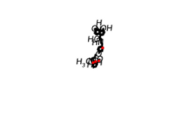 CN(CCCOc1ccc(CNC[C@@H](O)c2ccc(O)c3[nH]c(=O)ccc23)cc1)[C@H]1C[C@@H]2CC[C@H]1[C@@H]2OC=O